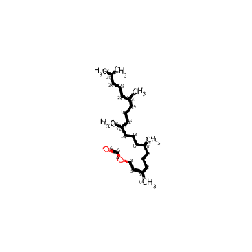 CC(=CCOC=O)CCCC(C)CCCC(C)CCCC(C)CCCC(C)C